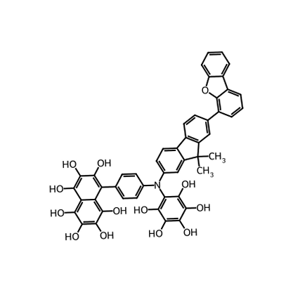 CC1(C)c2cc(-c3cccc4c3oc3ccccc34)ccc2-c2ccc(N(c3ccc(-c4c(O)c(O)c(O)c5c(O)c(O)c(O)c(O)c45)cc3)c3c(O)c(O)c(O)c(O)c3O)cc21